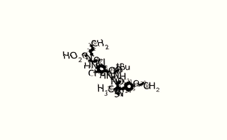 C=CCCCN(CC(=O)Nc1c(Cl)cc(CN/C(=N/C(=O)c2c(-c3ccc(OCC=C)cc3)nsc2C)NC(=O)OC(C)(C)C)cc1Cl)C(=O)O